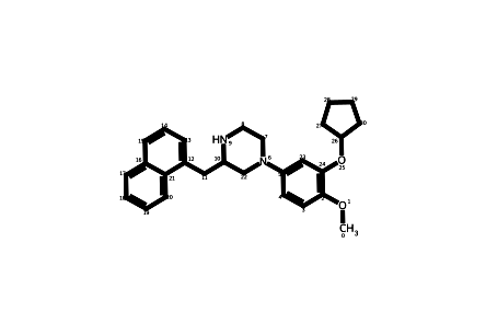 COc1ccc(N2CCNC(Cc3cccc4ccccc34)C2)cc1OC1CCCC1